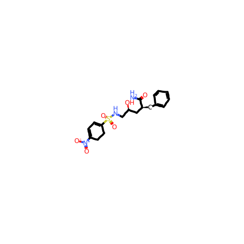 NC(=O)[C@@H](Cc1ccccc1)C[C@H](O)CNS(=O)(=O)C1=CC=C([N+](=O)[O-])CC1